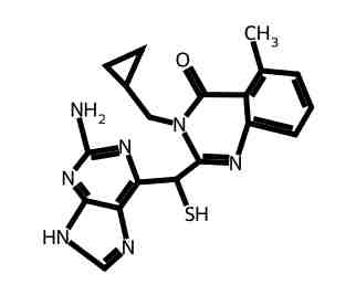 Cc1cccc2nc(C(S)c3nc(N)nc4[nH]cnc34)n(CC3CC3)c(=O)c12